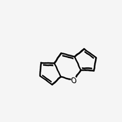 C1=CC2=CC3=CC=CC3OC2=C1